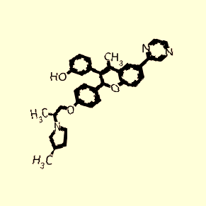 CC1=C(c2cccc(O)c2)C(c2ccc(OC[C@H](C)N3CC[C@@H](C)C3)cc2)Oc2ccc(-c3cnccn3)cc21